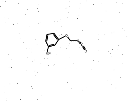 CC(C)(C)c1cccc(OCN=C=O)c1